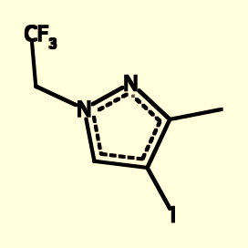 Cc1nn(CC(F)(F)F)cc1I